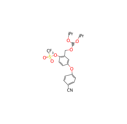 CC(C)OB(OCc1cc(Oc2ccc(C#N)cc2)ccc1OS(=O)(=O)C(F)(F)F)OC(C)C